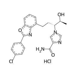 C[C@H](O)[C@@H](CCc1cccc2oc(-c3ccc(Cl)cc3)nc12)n1cnc(C(N)=O)c1.Cl